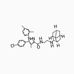 Cc1ccc(-n2nc(C(=O)NCCNC3[C@H]4C[C@@H]5C[C@@H](C[C@H]3C5)C4)c(C)c2-c2ccc(Cl)cc2)c(C)c1